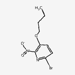 CCCCOc1ccc(Br)nc1[N+](=O)[O-]